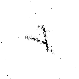 CCCCCC(CCOCCOCCCC)CCOCCOCCCC